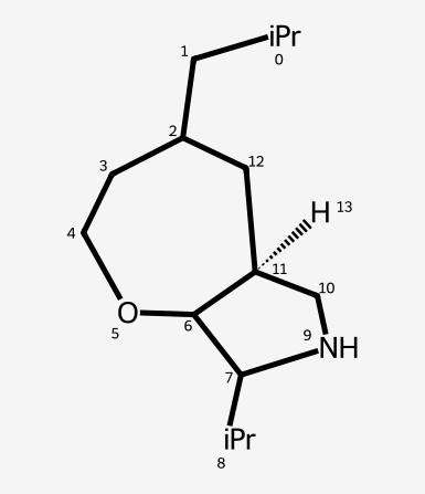 CC(C)CC1CCOC2C(C(C)C)NC[C@@H]2C1